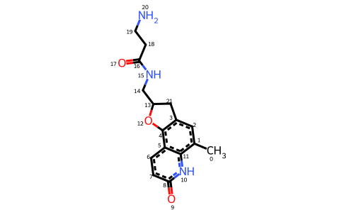 Cc1cc2c(c3ccc(=O)[nH]c13)OC(CNC(=O)CCN)C2